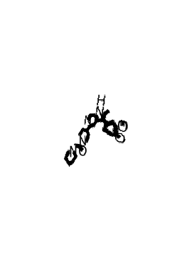 COc1ccc(-c2c(C)[nH]c3cnc(C4CCN(C(=O)CN5CCCCC5)CC4)cc23)cc1OC